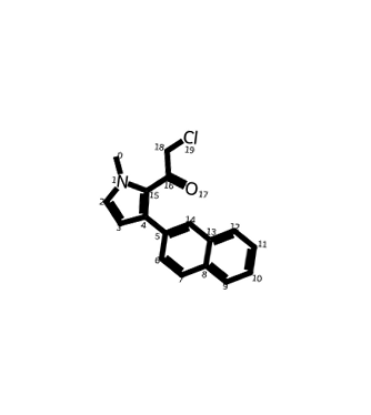 Cn1ccc(-c2ccc3ccccc3c2)c1C(=O)CCl